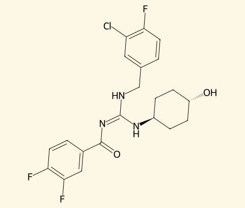 O=C(/N=C(/NCc1ccc(F)c(Cl)c1)N[C@H]1CC[C@H](O)CC1)c1ccc(F)c(F)c1